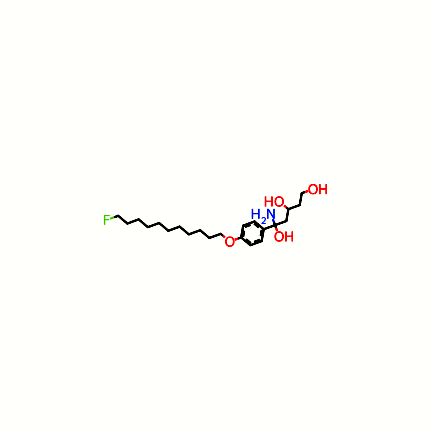 NC(O)(CC(O)CCO)c1ccc(OCCCCCCCCCCCF)cc1